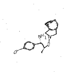 C[C@H](ON1Cc2ccccc2C1)[C@@H](N)c1ccc(Cl)cc1